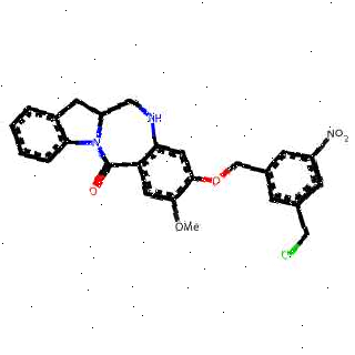 COc1cc2c(cc1OCc1cc(CCl)cc([N+](=O)[O-])c1)NCC1Cc3ccccc3N1C2=O